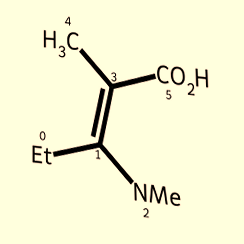 CCC(NC)=C(C)C(=O)O